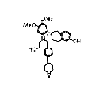 COc1cc([C@H]2CCc3cc(O)ccc3C2)c(N(CCO)Cc2ccc(C3CCN(C)CC3)cc2)cc1OC